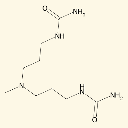 CN(CCCNC(N)=O)CCCNC(N)=O